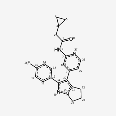 O=C(CC1CC1)Nc1cc(-c2c(-c3ccc(F)cc3)nn3c2CCC3)ccn1